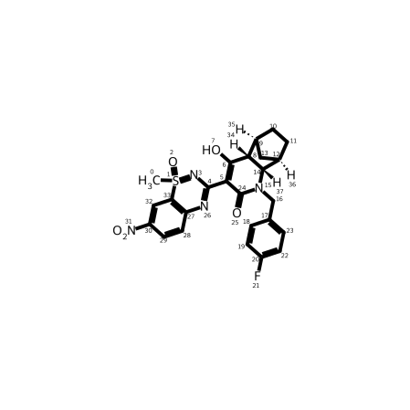 CS1(=O)=NC(C2=C(O)[C@@H]3[C@H]4CC[C@H](C4)[C@@H]3N(Cc3ccc(F)cc3)C2=O)=Nc2ccc([N+](=O)[O-])cc21